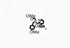 COC(=O)CN(Cc1ccc(OC)cc1OC)Cc1ncccc1N